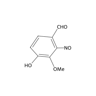 COc1c(O)ccc(C=O)c1N=O